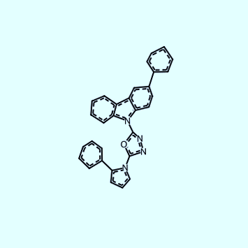 c1ccc(-c2ccc3c(c2)c2ccccc2n3-c2nnc(-n3cccc3-c3ccccc3)o2)cc1